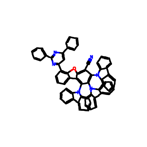 N#Cc1c(-n2c3ccccc3c3ccccc32)c(-n2c3ccccc3c3ccccc32)c(-n2c3ccccc3c3ccccc32)c2c1oc1c(-c3cc(-c4ccccc4)nc(-c4ccccc4)n3)cccc12